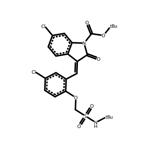 CC(C)(C)NS(=O)(=O)COc1ccc(Cl)cc1/C=C1/C(=O)N(C(=O)OC(C)(C)C)c2cc(Cl)ccc21